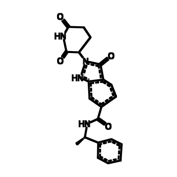 C[C@@H](NC(=O)c1ccc2c(=O)n(C3CCC(=O)NC3=O)[nH]c2c1)c1ccccc1